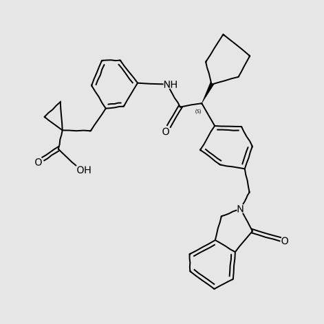 O=C(Nc1cccc(CC2(C(=O)O)CC2)c1)[C@H](c1ccc(CN2Cc3ccccc3C2=O)cc1)C1CCCC1